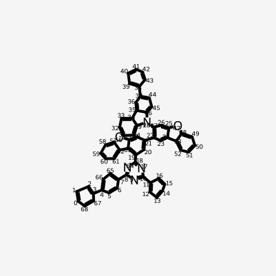 c1ccc(-c2ccc(-c3nc(-c4ccccc4)nc(-c4cc(-c5cc6c(cc5-n5c7ccccc7c7cc(-c8ccccc8)ccc75)oc5ccccc56)cc5oc6ccccc6c45)n3)cc2)cc1